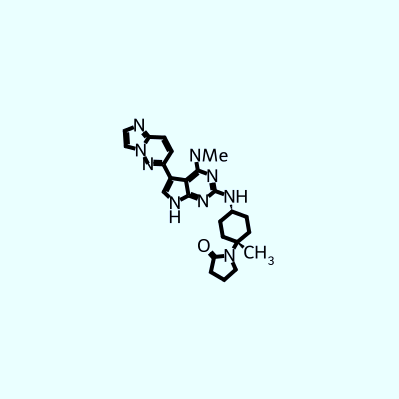 CNc1nc(N[C@H]2CC[C@@](C)(N3CCCC3=O)CC2)nc2[nH]cc(-c3ccc4nccn4n3)c12